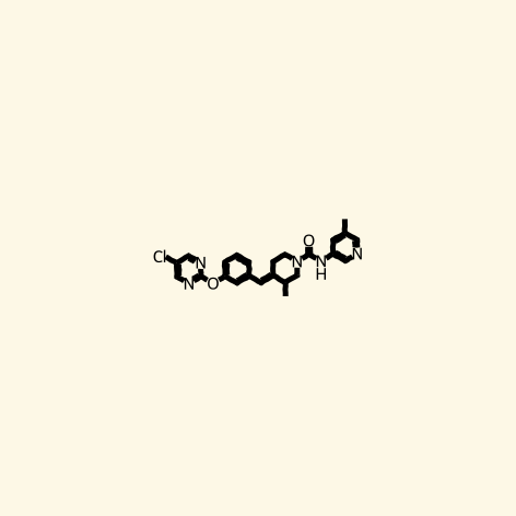 Cc1cncc(NC(=O)N2CC/C(=C\c3cccc(Oc4ncc(Cl)cn4)c3)C(C)C2)c1